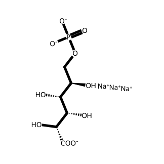 O=C([O-])[C@H](O)[C@@H](O)[C@H](O)[C@H](O)COP(=O)([O-])[O-].[Na+].[Na+].[Na+]